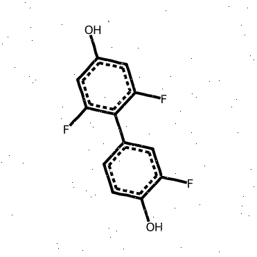 Oc1cc(F)c(-c2ccc(O)c(F)c2)c(F)c1